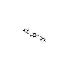 CN1C(C)(C)CC(COC(=O)c2ccc(C(=O)OCC3CC(C)(C)NC3(C)C)cc2)C1(C)C